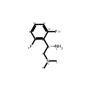 CN(C)C[C@@H](N)c1c(F)cccc1F